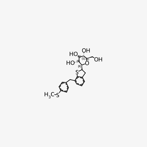 CSc1ccc(Cc2cccc3c2SC([C@@H]2O[C@H](CO)[C@@H](O)[C@H](O)[C@H]2O)C3)cc1